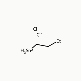 CCC[CH2][SnH3+2].[Cl-].[Cl-]